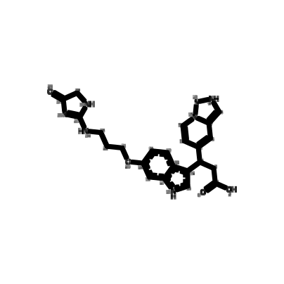 O=C(O)CC(C1=CC2=CNSN2C=C1)c1c[nH]c2cc(OCCCNC3=NC(=O)CN3)ccc12